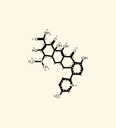 Cc1ccc(-c2ccc(O)c3c2CC2CC4C(N(C)C)C(O)=C(C(N)=O)C(=O)C4(O)C(O)=C2C3=O)nc1